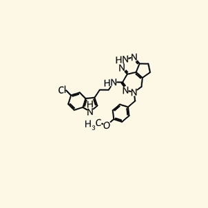 COc1ccc(CN2CC3=C4C(=NNN=C4C(NCCc4c[nH]c5ccc(Cl)cc45)=N2)CC3)cc1